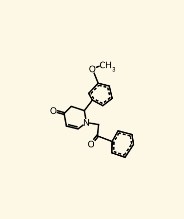 COc1cccc(C2CC(=O)C=CN2CC(=O)c2ccccc2)c1